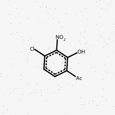 CC(=O)c1ccc(Cl)c([N+](=O)[O-])c1O